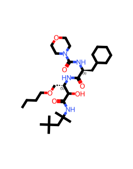 CCCCOC[C@H](NC(=O)[C@H](CC1CCCCC1)NC(=O)N1CCOCC1)C(O)C(=O)NC(C)(C)CC(C)(C)C